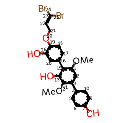 COc1cc(-c2ccc(O)cc2)c(OC)c(O)c1-c1ccc(OCC=C(Br)Br)c(O)c1